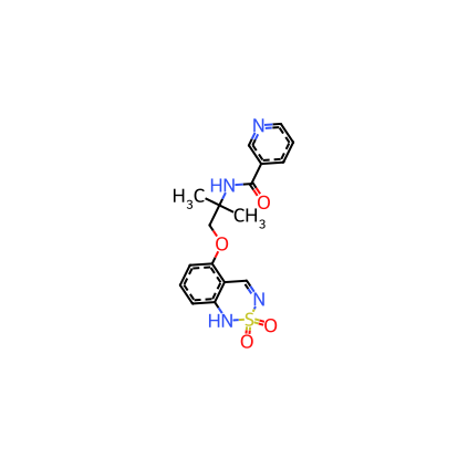 CC(C)(COc1cccc2c1C=NS(=O)(=O)N2)NC(=O)c1cccnc1